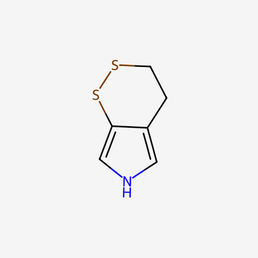 c1[nH]cc2c1CCSS2